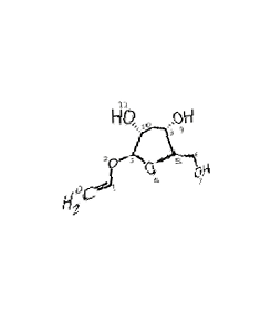 C=CO[C@@H]1O[C@H](CO)[C@@H](O)[C@H]1O